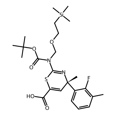 Cc1cccc([C@]2(C)C=C(C(=O)O)SC(N(COCC[Si](C)(C)C)C(=O)OC(C)(C)C)=N2)c1F